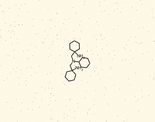 NC1(CN(CC2(N)CCCCC2)C2CCCCC2)CCCCC1